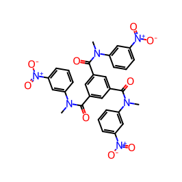 CN(C(=O)c1cc(C(=O)N(C)c2cccc([N+](=O)[O-])c2)cc(C(=O)N(C)c2cccc([N+](=O)[O-])c2)c1)c1cccc([N+](=O)[O-])c1